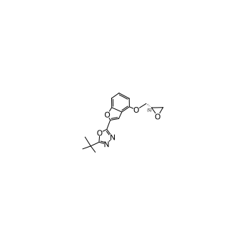 CC(C)(C)c1nnc(-c2cc3c(OC[C@@H]4CO4)cccc3o2)o1